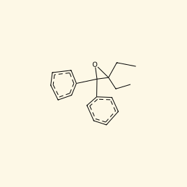 CCC1(CC)OC1(c1ccccc1)c1ccccc1